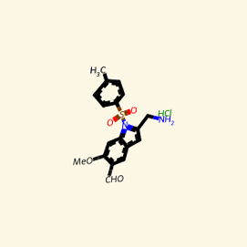 COc1cc2c(cc1C=O)cc(CN)n2S(=O)(=O)c1ccc(C)cc1.Cl